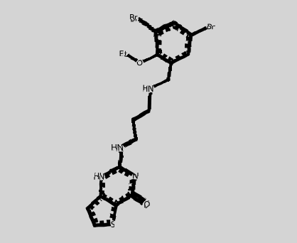 CCOc1c(Br)cc(Br)cc1CNCCCNc1nc(=O)c2sccc2[nH]1